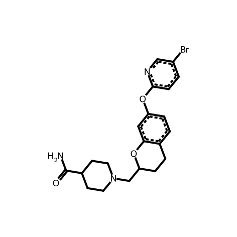 NC(=O)C1CCN(CC2CCc3ccc(Oc4ccc(Br)cn4)cc3O2)CC1